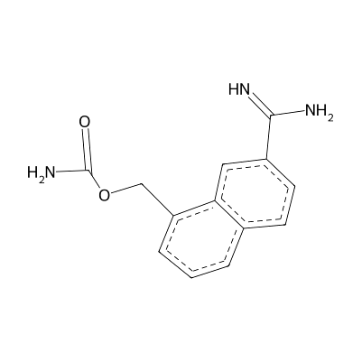 N=C(N)c1ccc2cccc(COC(N)=O)c2c1